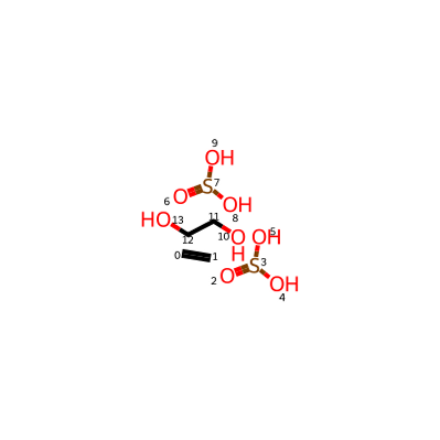 C=C.O=S(O)O.O=S(O)O.OCCO